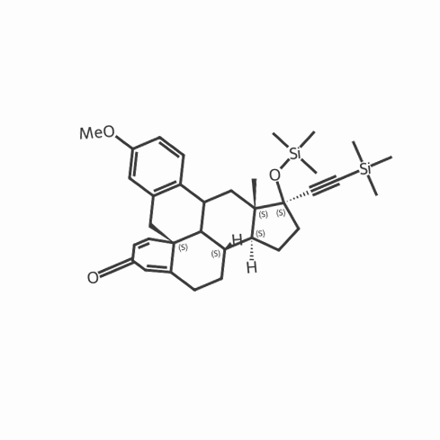 COc1ccc2c(c1)C[C@]13C=CC(=O)C=C1CC[C@@H]1C3C2C[C@@]2(C)[C@H]1CC[C@]2(C#C[Si](C)(C)C)O[Si](C)(C)C